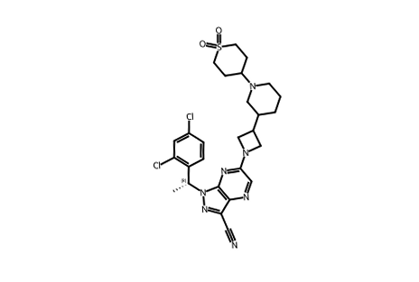 C[C@H](c1ccc(Cl)cc1Cl)n1nc(C#N)c2ncc(N3CC(C4CCCN(C5CCS(=O)(=O)CC5)C4)C3)nc21